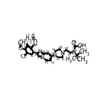 COc1cc(OC)c(-c2cn3ccc(N4CCN(CCN(C(=O)O)C(C)(C)C)CC4)cc3n2)cc1Cl